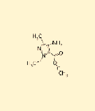 CCOC(=O)c1c(N)c(C)nn1CC